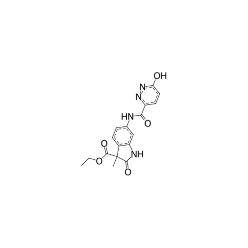 CCOC(=O)C1(C)C(=O)Nc2cc(NC(=O)c3ccc(O)nn3)ccc21